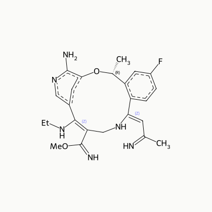 CCN/C1=C(\C(=N)OC)CN/C(=C\C(C)=N)c2ccc(F)cc2[C@@H](C)Oc2cc1cnc2N